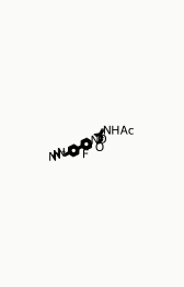 CC(=O)NCC1CN(c2ccc(-c3ccc(CN=[N+]=[N-])cc3)c(F)c2)C(=O)O1